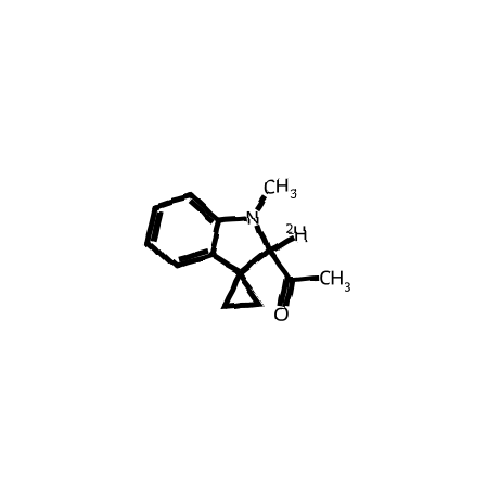 [2H]C1(C(C)=O)N(C)c2ccccc2C12CC2